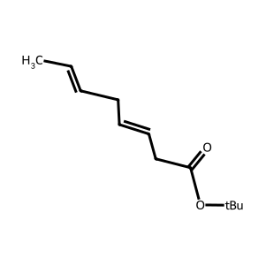 CC=CCC=CCC(=O)OC(C)(C)C